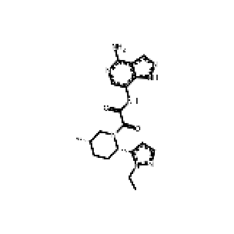 CCn1nccc1[C@@H]1CC[C@H](C)CN1C(=O)C(=O)Nc1cnc(N)c2cn[nH]c12